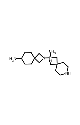 C[PH]1(N2CC3(CCC(N)CC3)C2)CC2(CCNCC2)C1